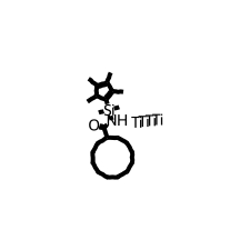 CC1=C(C)C(C)C([Si](C)(C)NC(=O)C2CCCCCCCCCCC2)=C1C.[Ti].[Ti].[Ti].[Ti]